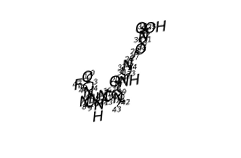 COC1CCN(c2nccc(Nc3cc4c(cn3)c(C(=O)NC3CCN(CCCOC5CN(C(=O)O)C5)CC3)cn4C(C)C)n2)CC1F